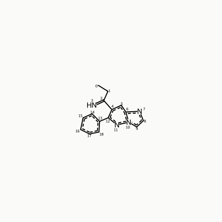 CCC(=N)c1cc2nccn2nc1-c1ccccc1